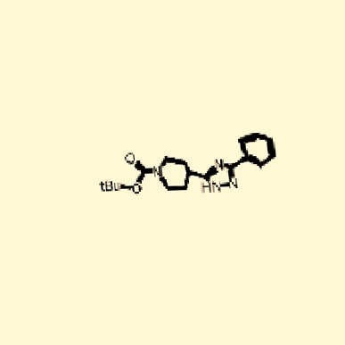 CC(C)(C)OC(=O)N1CCC(c2nc(-c3ccccc3)n[nH]2)CC1